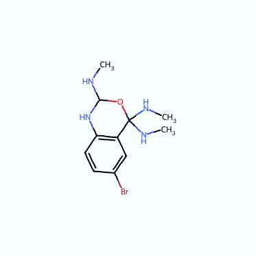 CNC1Nc2ccc(Br)cc2C(NC)(NC)O1